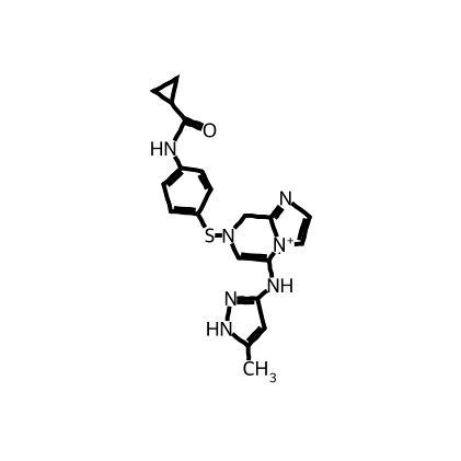 Cc1cc(NC2=CN(Sc3ccc(NC(=O)C4CC4)cc3)CC3=NC=C[N+]23)n[nH]1